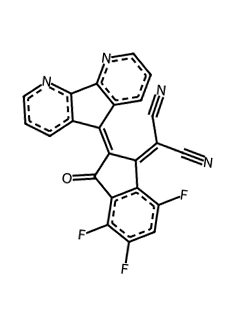 N#CC(C#N)=C1C(=C2c3cccnc3-c3ncccc32)C(=O)c2c(F)c(F)cc(F)c21